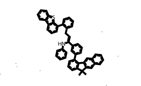 CC1(C)c2cc3ccccc3cc2-c2c(-c3cccc(/C(=C/Cc4ccccc4-c4cccc5c4sc4ccccc45)Nc4ccccc4)c3)cccc21